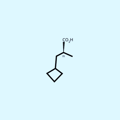 C[C@@H](CC1CCC1)C(=O)O